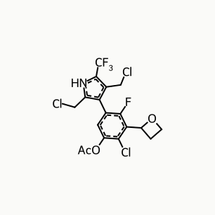 CC(=O)Oc1cc(-c2c(CCl)[nH]c(C(F)(F)F)c2CCl)c(F)c(C2CCO2)c1Cl